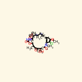 COc1cc2cc(c1Cl)N(C)C(=O)CC(O)C1(C)OC1C(C)C1CC(OC)(NC(=O)O1)C(OC)/C=C/C=C(\C)C2